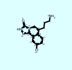 NCCCc1cn2c(=O)[nH]nc2c2cc(Cl)ccc12